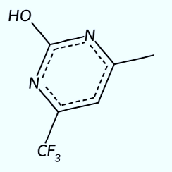 Cc1cc(C(F)(F)F)nc(O)n1